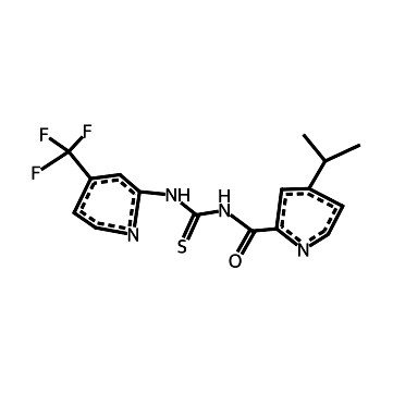 CC(C)c1ccnc(C(=O)NC(=S)Nc2cc(C(F)(F)F)ccn2)c1